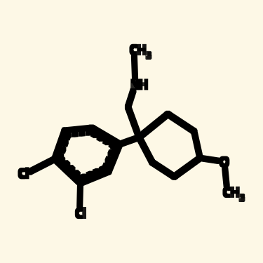 CNCC1(c2ccc(Cl)c(Cl)c2)CCC(OC)CC1